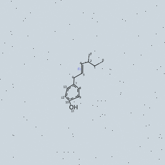 CCC(C)/C=C/Cc1ccc(O)cc1